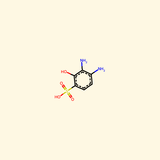 Nc1ccc(S(=O)(=O)O)c(O)c1N